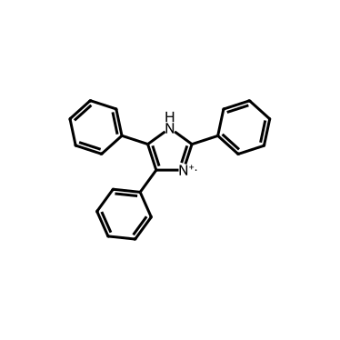 c1ccc(C2=[N+]C(c3ccccc3)=C(c3ccccc3)N2)cc1